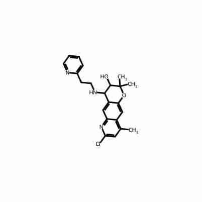 Cc1cc(Cl)nc2cc3c(cc12)OC(C)(C)C(O)C3NCCc1ccccn1